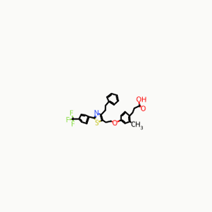 Cc1cc(OCCc2sc(-c3ccc(C(F)(F)F)cc3)nc2CCc2ccccc2)ccc1CCC(=O)O